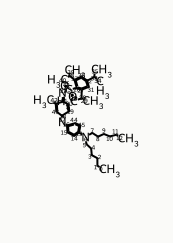 CCCCCCN(CCCCCC)c1ccc(N=C2C=CC(=NS(=O)(=O)c3c(C(C)C)cc(C(C)C)cc3C(C)C)C(C)=C2)cc1